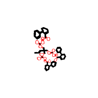 CCCC(COC(=O)OOC(=O)c1ccccc1-c1ccccc1)(COC(=O)OOC(=O)c1ccccc1-c1ccccc1)COC(=O)OOC(=O)c1ccccc1-c1ccccc1